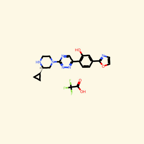 O=C(O)C(F)(F)F.Oc1cc(-c2ncco2)ccc1-c1cnc(N2CCN[C@@H](C3CC3)C2)nn1